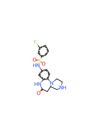 O=C1CC2CNCCN2c2ccc(NS(=O)(=O)c3cccc(F)c3)cc2N1